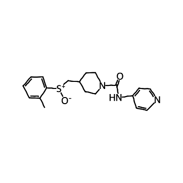 Cc1ccccc1[S+]([O-])CC1CCN(C(=O)Nc2ccncc2)CC1